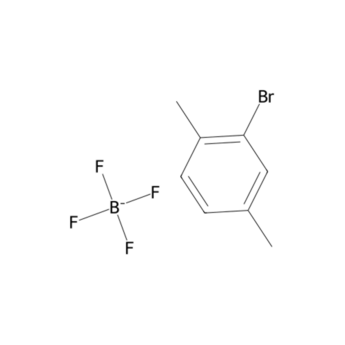 Cc1ccc(C)c(Br)c1.F[B-](F)(F)F